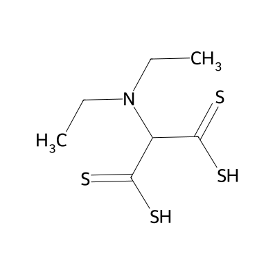 CCN(CC)C(C(=S)S)C(=S)S